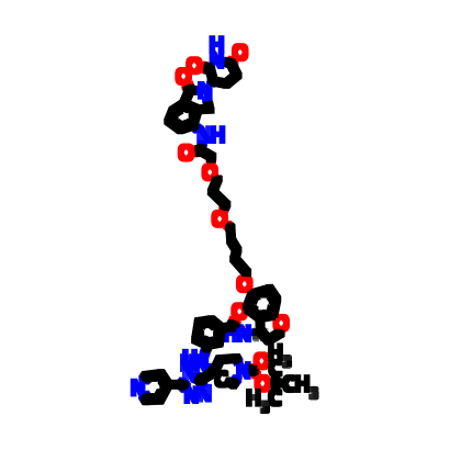 CC(C)(C)OC(=O)N1CCC(Nc2cccc(C(=O)N[C@@H]3CCOc4ccc(OCCCCCOCCCOCC(=O)Nc5cccc6c5CN(C5CCC(=O)NC5=O)C6=O)cc43)c2)(c2nnc(-c3ccncc3)[nH]2)CC1